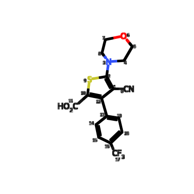 N#Cc1c(N2CCOCC2)sc(C(=O)O)c1-c1ccc(C(F)(F)F)cc1